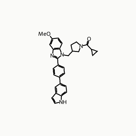 COc1ccc2c(c1)nc(-c1ccc(-c3ccc4[nH]ccc4c3)cc1)n2CC1CCN(C(=O)C2CC2)C1